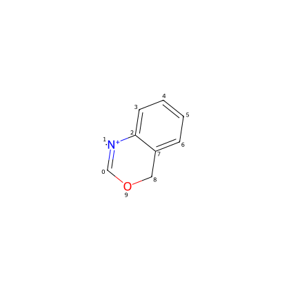 C1=[N+]c2ccccc2CO1